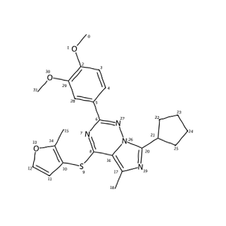 COc1ccc(-c2nc(Sc3ccoc3C)c3c(C)nc(C4CCCC4)n3n2)cc1OC